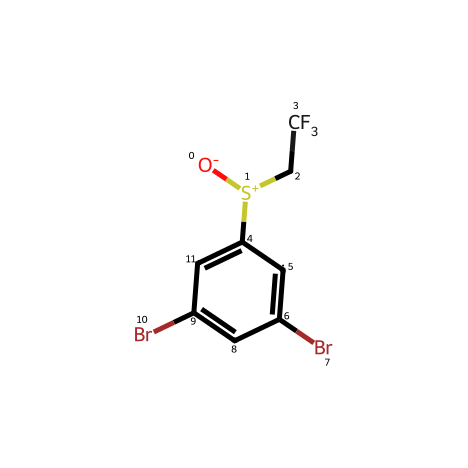 [O-][S+](CC(F)(F)F)c1[c]c(Br)cc(Br)c1